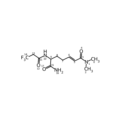 CN(C)C(=O)C=CCCC(NC(=O)CC(F)(F)F)C(N)=O